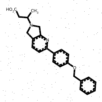 CC(CC(=O)O)N1Cc2ccc(-c3ccc(OCc4ccccc4)cc3)nc2C1